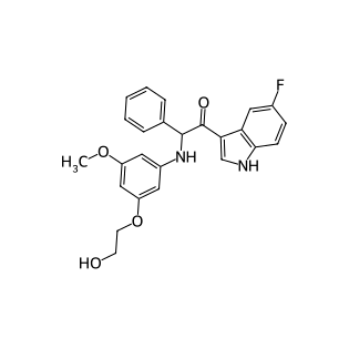 COc1cc(NC(C(=O)c2c[nH]c3ccc(F)cc23)c2ccccc2)cc(OCCO)c1